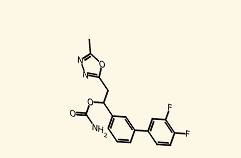 Cc1nnc(CC(OC(N)=O)c2cccc(-c3ccc(F)c(F)c3)c2)o1